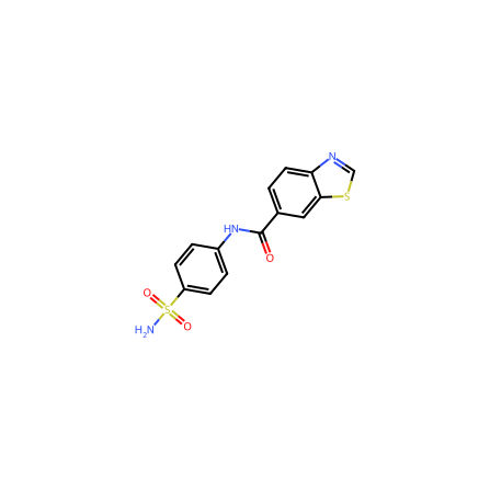 NS(=O)(=O)c1ccc(NC(=O)c2ccc3ncsc3c2)cc1